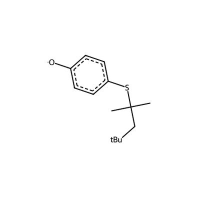 CC(C)(C)CC(C)(C)Sc1ccc([O])cc1